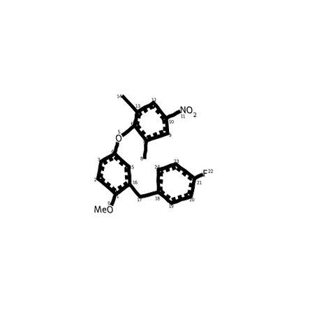 COc1ccc(Oc2c(C)cc([N+](=O)[O-])cc2C)cc1Cc1ccc(F)cc1